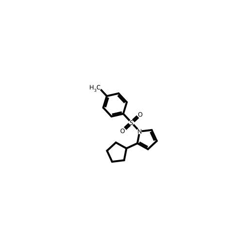 Cc1ccc(S(=O)(=O)n2cccc2C2CCCC2)cc1